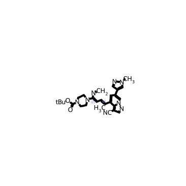 C=N/C(=C\C=C(/C)c1cc(-c2cnn(C)c2)cn2ncc(C#N)c12)N1CCN(C(=O)OC(C)(C)C)CC1